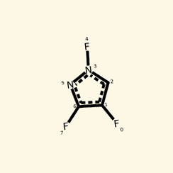 Fc1cn(F)nc1F